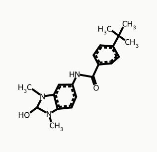 CN1c2ccc(NC(=O)c3ccc(C(C)(C)C)cc3)cc2N(C)C1O